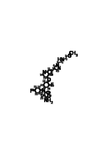 COCCNCCn1cc(-c2cc3nccc(Oc4ccc(N(C(=O)C5(C(N)=O)CC5)c5ccc(F)cc5)cc4F)c3s2)cn1